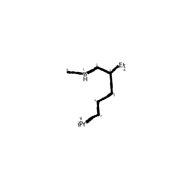 CBCC(CC)CCCC(C)C